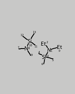 CCN(CC)[Si](C)(C)C.CN(C)[Si](C)(C)C